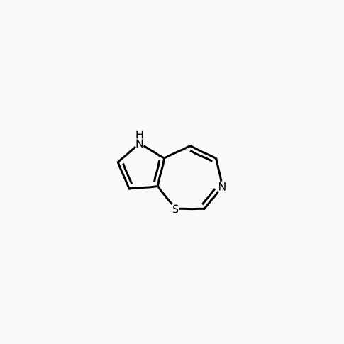 C1=Cc2[nH]ccc2SC=N1